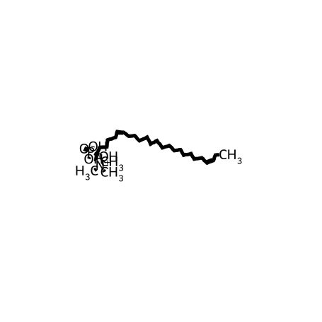 CC/C=C\CCCCCCCCCCCCCC/C=C\CCCCC(O)(C[N+](C)(C)C)P(=O)(O)O